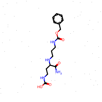 NC(=O)C(CCNC(=O)O)NCCCNC(=O)OCc1ccccc1